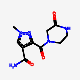 Cn1cc(C(N)=O)c(C(=O)N2CCNC(=O)C2)n1